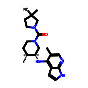 Cc1cnc2[nH]ccc2c1N[C@H]1CN(C(=O)N2CCC(C)(C#N)C2)CC[C@H]1C